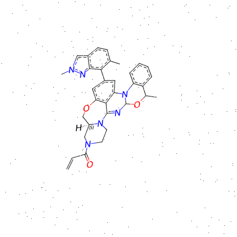 C=CC(=O)N1CCN2C3=NC4OC(C)c5ccccc5N4c4cc(-c5c(C)ccc6cn(C)nc56)cc(c43)OC[C@@H]2C1